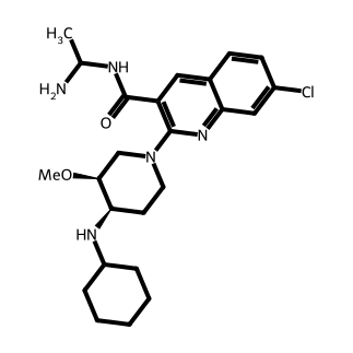 CO[C@H]1CN(c2nc3cc(Cl)ccc3cc2C(=O)NC(C)N)CC[C@H]1NC1CCCCC1